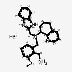 Br.COc1cccc(CN(Cc2nc3ccccc3[nH]2)C2CCCc3cccnc32)c1CN